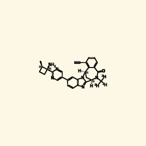 [2H]C([2H])([2H])N1C(=O)c2cccc(C#C)c2[C@H]2C[C@@H]1c1nc3ccc(-c4cnc([C@]5(N)CC[C@H]5C)nc4)cc3n12